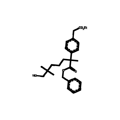 CCOC(=O)Cc1ccc(C(C)(CCCC(C)(C)CO)C(=O)OCc2ccccc2)cc1